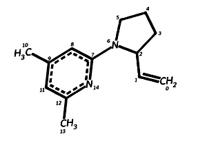 C=CC1CCCN1c1cc(C)cc(C)n1